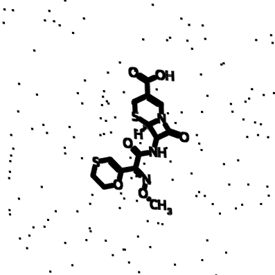 CON=C(C(=O)NC1C(=O)N2C=C(C(=O)O)CS[C@H]12)C1=CSCCO1